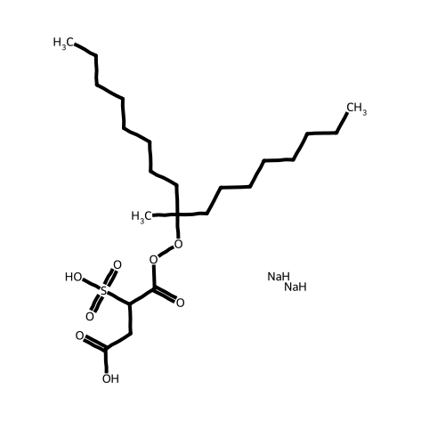 CCCCCCCCC(C)(CCCCCCCC)OOC(=O)C(CC(=O)O)S(=O)(=O)O.[NaH].[NaH]